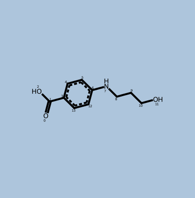 O=C(O)c1ccc(NCCCO)cc1